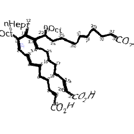 CCCCCCCC/C(=C/CCCCCCCC(=O)O)C(CCCCCCC)C(CCCCCCCC(=O)O)C(CCCCCCCC)CCCCCCCCC(=O)O